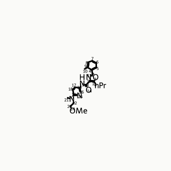 CCCc1oc(-c2ccccc2C)nc1C(=O)Nc1ccc(N(C)CCOC)nc1